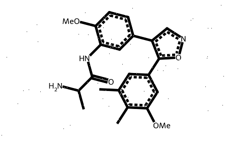 COc1ccc(-c2cnoc2-c2cc(C)c(C)c(OC)c2)cc1NC(=O)C(C)N